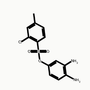 Cc1ccc(S(=O)(=O)Oc2ccc(N)c(N)c2)c(Cl)c1